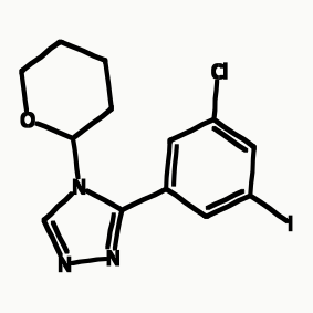 Clc1cc(I)cc(-c2nncn2C2CCCCO2)c1